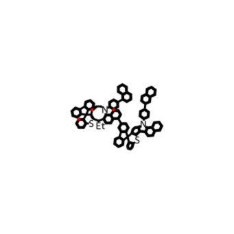 CCC1C2=C(/C=C\CN(c3ccc(-c4cccc5ccccc45)cc3)c3c1ccc1c(-c4ccc5c(c4)-c4ccccc4C54c5ccccc5Sc5c4ccc4c5c5ccc6ccccc6c5n4-c4ccc(-c5ccc6ccccc6c5)cc4)cccc31)C1(c3ccccc3S2)c2ccccc2-c2ccccc21